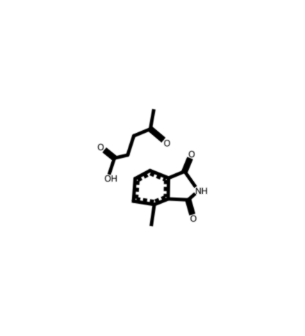 CC(=O)CCC(=O)O.Cc1cccc2c1C(=O)NC2=O